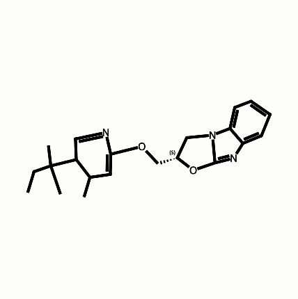 CCC(C)(C)C1C=NC(OC[C@@H]2Cn3c(nc4ccccc43)O2)=CC1C